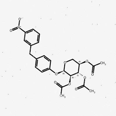 CC(=O)O[C@@H]1[C@@H](OC(C)=O)[C@@H](Oc2ccc(Cc3cccc([N+](=O)[O-])c3)cc2)OC[C@H]1OC(C)=O